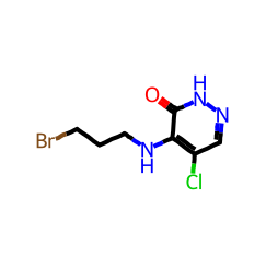 O=c1[nH]ncc(Cl)c1NCCCBr